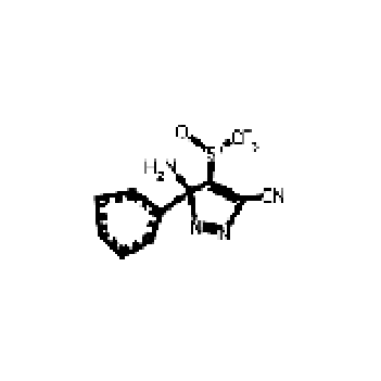 N#CC1=C([S+]([O-])C(F)(F)F)C(N)(c2ccccc2)N=N1